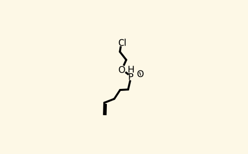 C=CCCC[PH](=O)OCCCl